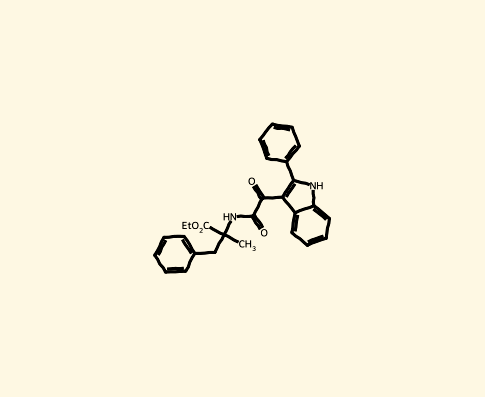 CCOC(=O)C(C)(Cc1ccccc1)NC(=O)C(=O)c1c(-c2ccccc2)[nH]c2ccccc12